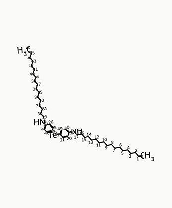 CCCCCCCCCCCCCCCCCCNc1ccc([Te]c2ccc(NCCCCCCCCCCCCCCCCCC)cc2)cc1